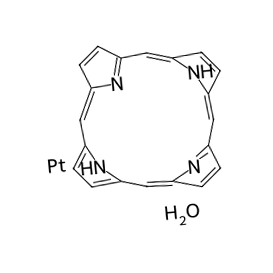 C1=Cc2cc3ccc(cc4nc(cc5ccc(cc1n2)[nH]5)C=C4)[nH]3.O.[Pt]